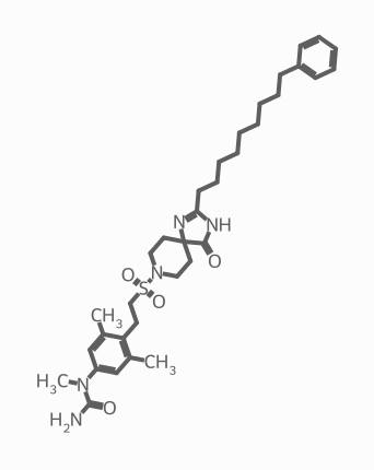 Cc1cc(N(C)C(N)=O)cc(C)c1CCS(=O)(=O)N1CCC2(CC1)N=C(CCCCCCCCCc1ccccc1)NC2=O